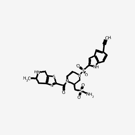 C#Cc1ccc2[nH]c(S(=O)(=O)N3CCN(C(=O)c4nc5c(s4)CNC(C)C5)C(CS(N)(=O)=O)C3)cc2c1